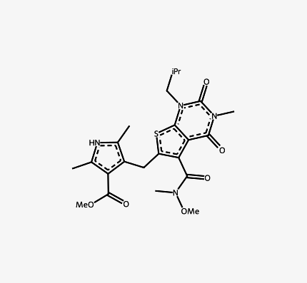 COC(=O)c1c(C)[nH]c(C)c1Cc1sc2c(c1C(=O)N(C)OC)c(=O)n(C)c(=O)n2CC(C)C